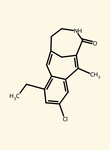 CCc1cc(Cl)cc2c1C=C1CCNC(=O)C(=C2C)C1